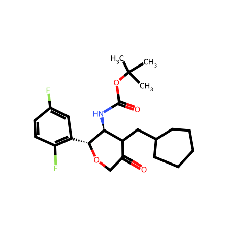 CC(C)(C)OC(=O)N[C@H]1C(CC2CCCCC2)C(=O)CO[C@@H]1c1cc(F)ccc1F